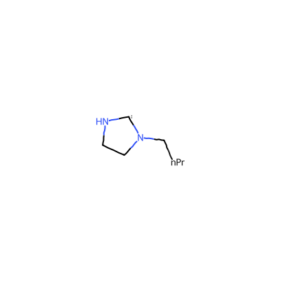 CCCCN1[C]NCC1